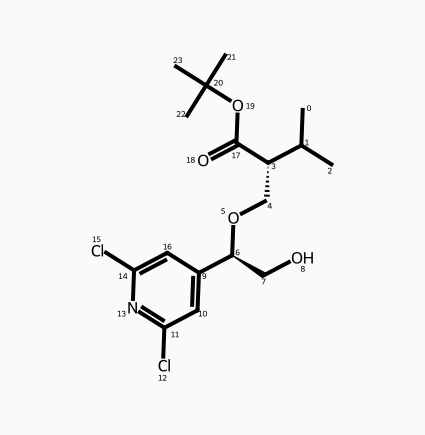 CC(C)[C@H](CO[C@@H](CO)c1cc(Cl)nc(Cl)c1)C(=O)OC(C)(C)C